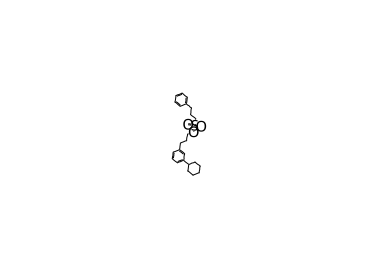 O=S(=O)(CCCc1ccccc1)OCCCc1cccc(C2CCCCC2)c1